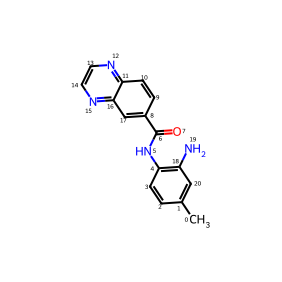 Cc1ccc(NC(=O)c2ccc3nccnc3c2)c(N)c1